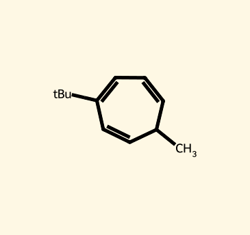 CC1C=CC=C(C(C)(C)C)C=C1